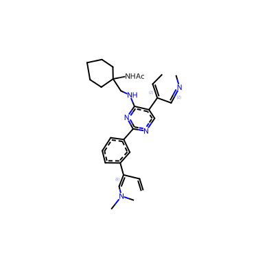 C=C/C(=C\N(C)C)c1cccc(-c2ncc(C(/C=N\C)=C/C)c(NCC3(NC(C)=O)CCCCC3)n2)c1